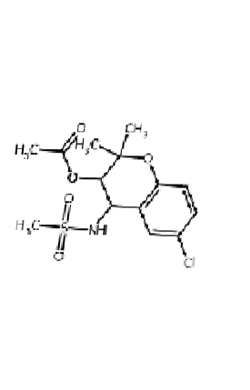 CC(=O)OC1C(NS(C)(=O)=O)c2cc(Cl)ccc2OC1(C)C